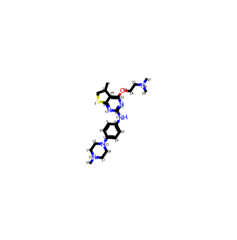 CC1CSc2nc(Nc3ccc(N4CCN(C)CC4)cc3)nc(OCCN(C)C)c21